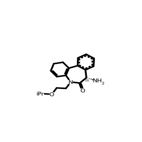 CC(C)OCCN1C(=O)[C@@H](N)c2ccccc2C2=C1C=CCC2